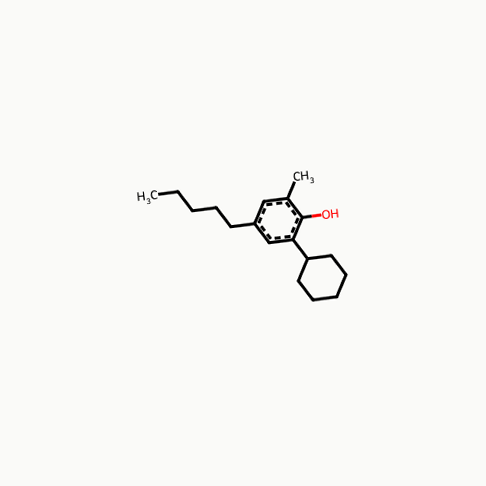 CCCCCc1cc(C)c(O)c(C2CCCCC2)c1